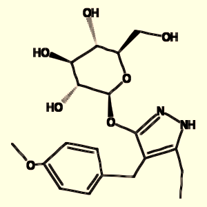 CCc1[nH]nc(O[C@@H]2O[C@H](CO)[C@@H](O)[C@H](O)[C@H]2O)c1Cc1ccc(OC)cc1